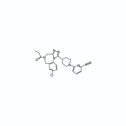 CCC(=O)N1Cc2cc(Cl)ccc2-n2c(nnc2C2CCN(c3cccc(C#N)n3)CC2)C1